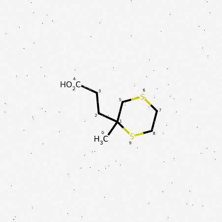 CC1(CCC(=O)O)CSCCS1